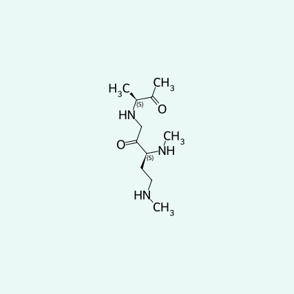 CNCC[C@H](NC)C(=O)CN[C@@H](C)C(C)=O